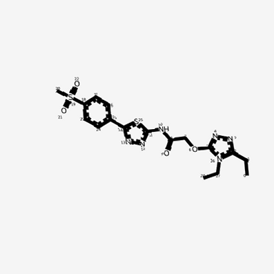 CCc1nnc(OCC(=O)Nc2nnc(-c3ccc(S(C)(=O)=O)cc3)s2)n1CC